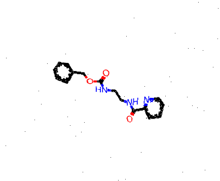 O=C(NCCNC(=O)c1[c]cccn1)OCc1ccccc1